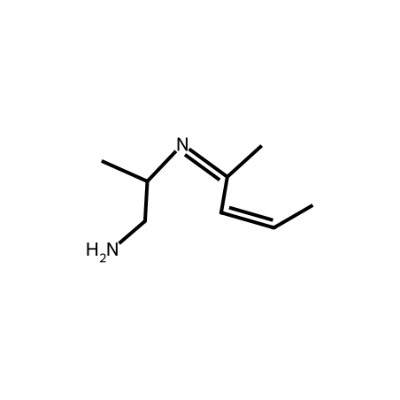 C/C=C\C(C)=N/C(C)CN